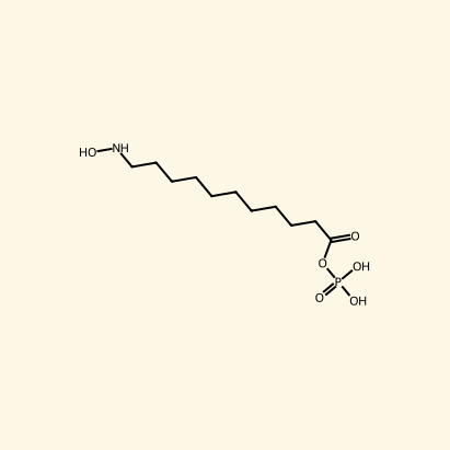 O=C(CCCCCCCCCCNO)OP(=O)(O)O